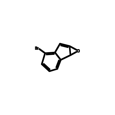 Brc1cccc2c1C=C1OC12